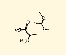 CC(N)C(=O)O.COC(C)OC